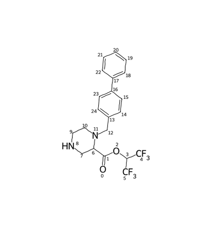 O=C(OC(C(F)(F)F)C(F)(F)F)C1CNCCN1Cc1ccc(-c2ccccc2)cc1